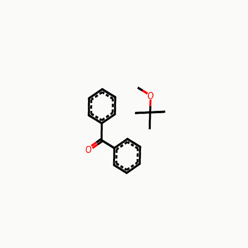 COC(C)(C)C.O=C(c1ccccc1)c1ccccc1